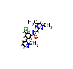 Cc1cc(C)nc(CNC(=O)c2cc(CCl)cc(-c3cccnc3C)c2)n1